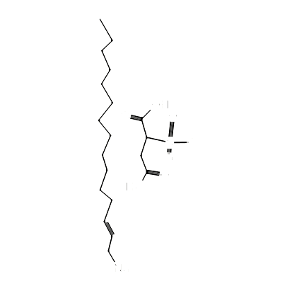 CCCCCCCCCCCCC=C[CH2][Na].O=C(O)CC(C(=O)O)S(=O)(=O)O